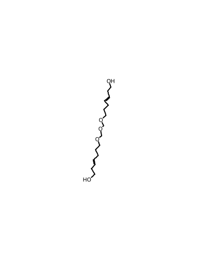 OCCC=CCCCOCOCOCCCC=CCCO